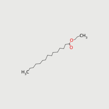 CCCCCCCCCCCCCCC(=O)OCCC